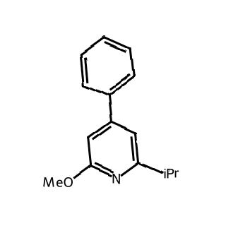 COc1cc(-c2ccccc2)cc(C(C)C)n1